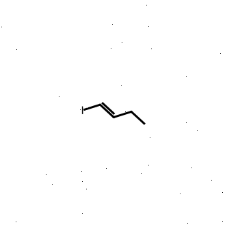 CC/C=C/I